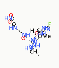 COC1(C(=O)N[C@@H](C)c2ccc(-n3cc(F)cn3)nc2)CCN(c2nc(CCCCC(=O)NCCCCCCNc3ccc(C4CCC(=O)NC4=O)cc3)cc(Nc3cc(C)[nH]n3)n2)CC1